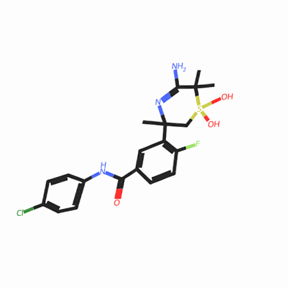 CC1(c2cc(C(=O)Nc3ccc(Cl)cc3)ccc2F)CS(O)(O)C(C)(C)C(N)=N1